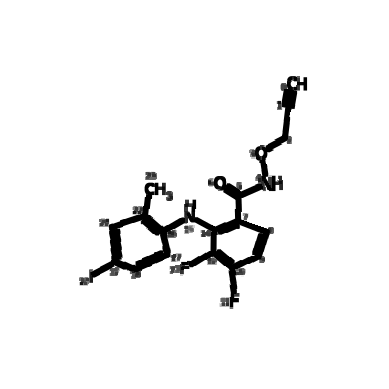 C#CCONC(=O)c1ccc(F)c(F)c1Nc1ccc(I)cc1C